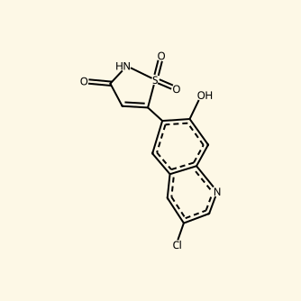 O=C1C=C(c2cc3cc(Cl)cnc3cc2O)S(=O)(=O)N1